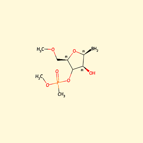 B[C@@H]1O[C@H](COC)C(OP(C)(=O)OC)[C@@H]1O